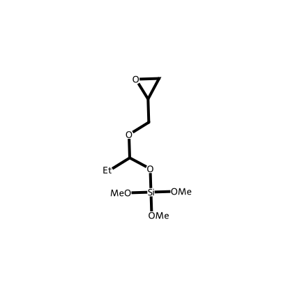 CCC(OCC1CO1)O[Si](OC)(OC)OC